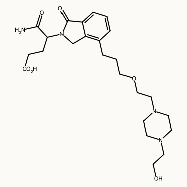 NC(=O)C(CCC(=O)O)N1Cc2c(CCCOCCN3CCN(CCO)CC3)cccc2C1=O